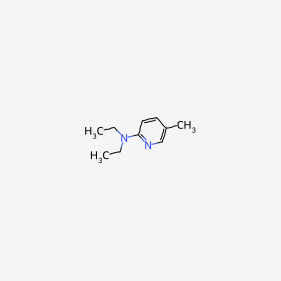 CCN(CC)c1ccc(C)cn1